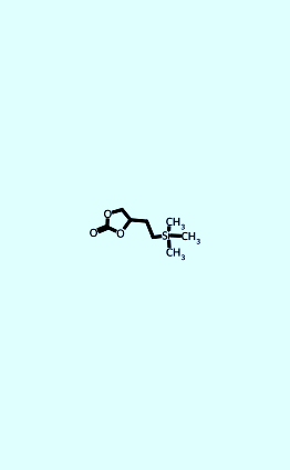 C[Si](C)(C)CCC1COC(=O)O1